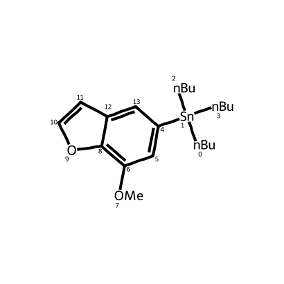 CCC[CH2][Sn]([CH2]CCC)([CH2]CCC)[c]1cc(OC)c2occc2c1